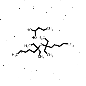 CCCC(O)O.CCCCCC(CC)(CC)OC(CC)(CC)CCCCC